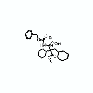 COC(=O)C(CC1CCCCC1)(C1CCCCC1)C(NC(=O)OCc1ccccc1)[PH](=O)O